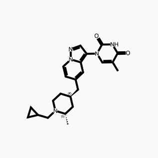 Cc1cn(-c2cnn3ccc(C[C@@H]4CCN(CC5CC5)[C@@H](C)C4)cc23)c(=O)[nH]c1=O